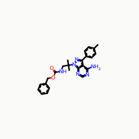 Cc1ccc(-c2nn(C(C)(C)CNC(=O)OCc3ccccc3)c3ncnc(N)c23)cc1